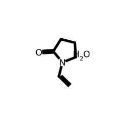 C=CN1CCCC1=O.O